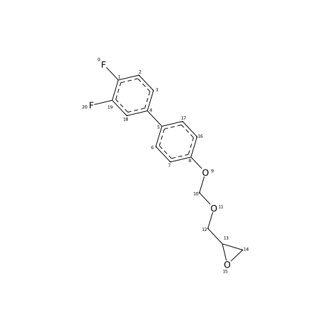 Fc1ccc(-c2ccc(OCOCC3CO3)cc2)cc1F